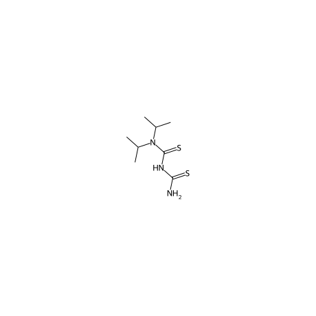 CC(C)N(C(=S)NC(N)=S)C(C)C